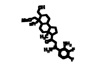 CCCC1(COC)C(CO)CCC2C3CCC(C(=O)CN(N)c4ccc(F)c(F)c4N)C3(C)CCC21